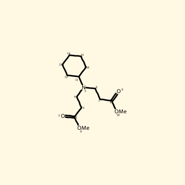 COC(=O)CCN(CCC(=O)OC)C1CCCCC1